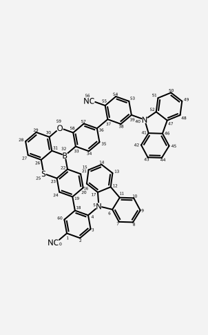 N#Cc1ccc(-n2c3ccccc3c3ccccc32)c(-c2ccc3c(c2)Sc2cccc4c2B3c2ccc(-c3cc(-n5c6ccccc6c6ccccc65)ccc3C#N)cc2O4)c1